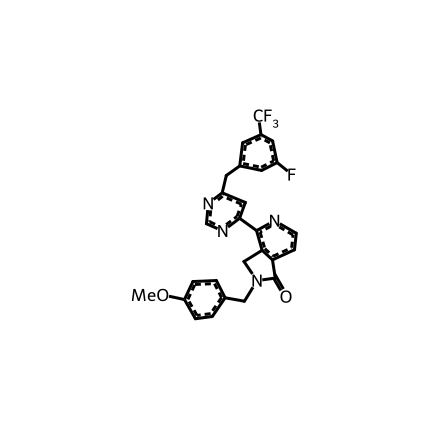 COc1ccc(CN2Cc3c(ccnc3-c3cc(Cc4cc(F)cc(C(F)(F)F)c4)ncn3)C2=O)cc1